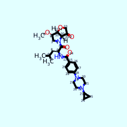 CO[C@H]1CN(C(=O)[C@H](CC(C)C)NC(=O)c2ccc(N3CCN(C4CC4)CC3)cc2)[C@@H]2C(=O)CO[C@H]12